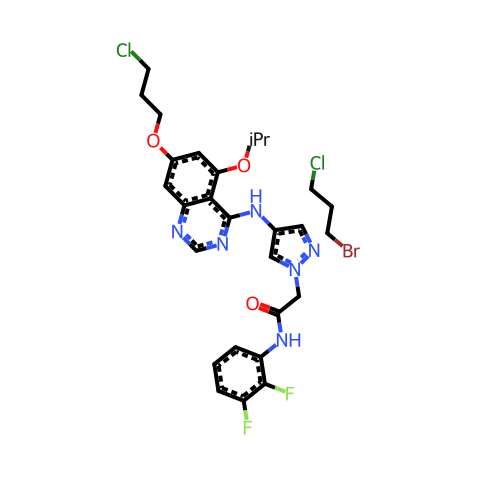 CC(C)Oc1cc(OCCCCl)cc2ncnc(Nc3cnn(CC(=O)Nc4cccc(F)c4F)c3)c12.ClCCCBr